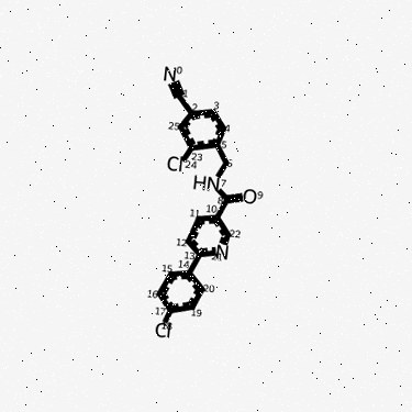 N#Cc1ccc(CNC(=O)c2ccc(-c3ccc(Cl)cc3)nc2)c(Cl)c1